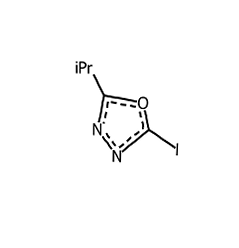 CC(C)c1nnc(I)o1